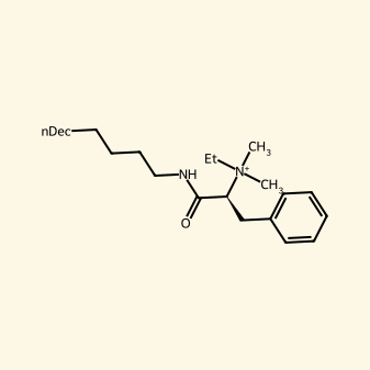 CCCCCCCCCCCCCCNC(=O)[C@H](Cc1ccccc1)[N+](C)(C)CC